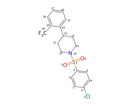 O=S(=O)(c1ccc(Cl)cc1)N1CCC(c2ccccc2C(F)(F)F)CC1